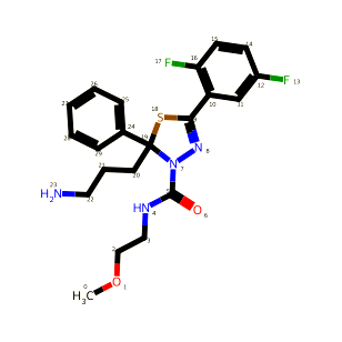 COCCNC(=O)N1N=C(c2cc(F)ccc2F)SC1(CCCN)c1ccccc1